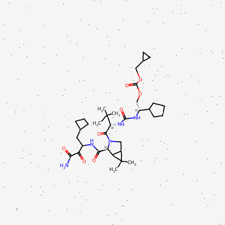 CC1(C)C2CN(C(=O)[C@@H](NC(=O)N[C@H](COC(=O)OCC3CC3)C3CCCC3)C(C)(C)C)[C@H](C(=O)NC(CC3CCC3)C(=O)C(N)=O)C21